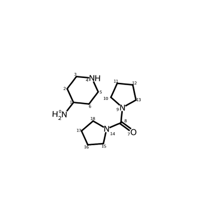 NC1CCNCC1.O=C(N1CCCC1)N1CCCC1